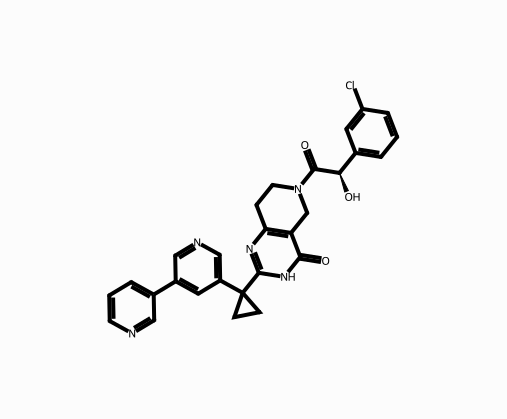 O=C([C@H](O)c1cccc(Cl)c1)N1CCc2nc(C3(c4cncc(-c5cccnc5)c4)CC3)[nH]c(=O)c2C1